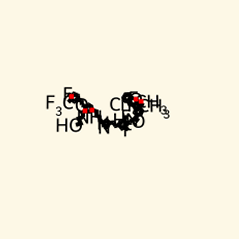 CC1(C)C(=O)N(Cc2c(F)cccc2Cl)c2cc(C(=O)NCc3c(F)cc(CCc4cnn(CCCCc5ccc(OCc6ccc(F)c(C(F)(F)F)c6)c(CNCCO)c5)c4)cc3F)ccc21